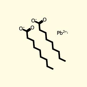 CCCCCCCCC(=O)[O-].CCCCCCCCC(=O)[O-].[Pb+2]